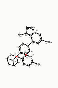 CCCCc1cc(-c2ccc(N3CC4CC(C3)N4Cc3ccc(CC)nc3)nc2)c2c(C#N)cnn2c1